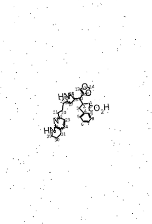 O=C(O)CC(Cc1ccccc1)C(C1=COCO1)c1cc(CCCc2ccc3c(n2)NCCC3)[nH]n1